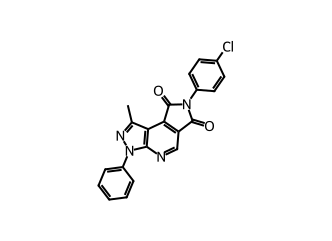 Cc1nn(-c2ccccc2)c2ncc3c(c12)C(=O)N(c1ccc(Cl)cc1)C3=O